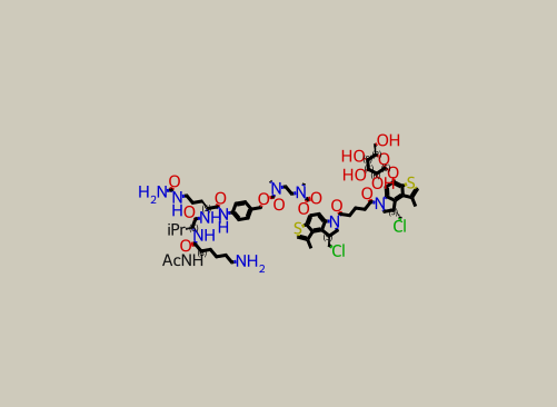 CC(=O)N[C@@H](CCCCN)C(=O)N[C@H](C(=O)N[C@@H](CCCNC(N)=O)C(=O)Nc1ccc(COC(=O)N(C)CCN(C)C(=O)Oc2cc3c(c4c(C)csc24)[C@H](CCl)CN3C(=O)CCCC(=O)N2C[C@@H](CCl)c3c2cc(O[C@@H]2O[C@H](CO)[C@@H](O)[C@H](O)[C@H]2O)c2scc(C)c32)cc1)C(C)C